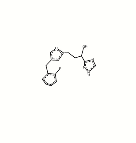 OC(CCc1cc(Cc2ccccc2F)co1)c1nc[nH]n1